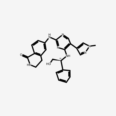 Cn1cc(-c2cnc(Nc3ccc4c(c3)CCNC4=O)nc2N[C@H](CO)c2ccccc2)cn1